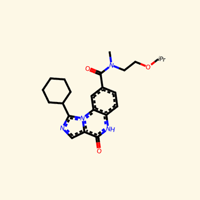 CC(C)OCCN(C)C(=O)c1ccc2[nH]c(=O)c3cnc(C4CCCCC4)n3c2c1